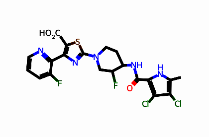 Cc1[nH]c(C(=O)NC2CCN(c3nc(-c4ncccc4F)c(C(=O)O)s3)CC2F)c(Cl)c1Cl